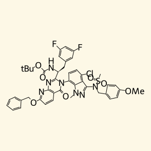 COc1ccc(CN(c2nn(C)c3c(-n4c([C@H](Cc5cc(F)cc(F)c5)NC(=O)OC(C)(C)C)nc5nc(OCc6ccccc6)ccc5c4=O)ccc(Cl)c23)S(C)(=O)=O)cc1